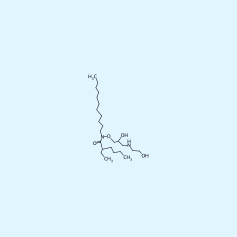 CCCCCCCCCCCN(OCC(O)CNCCO)C(=O)C(CC)CCCC